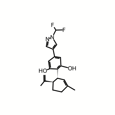 C=C(C)[C@@H]1CCC(C)=C[C@H]1c1c(O)cc(-c2cnn(C(F)F)c2)cc1O